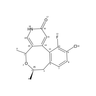 CC1O[C@H](C)Cc2ccc(Cl)c(F)c2-c2cc(=O)[nH]cc21